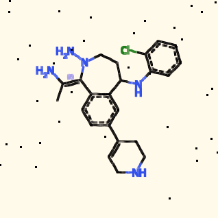 C/C(N)=C1\c2ccc(C3=CCNCC3)cc2C(Nc2ccccc2Cl)CCN1N